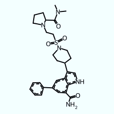 CN(C)C(=O)C1CCCN1CCS(=O)(=O)N1CCC(c2c[nH]c3c(C(N)=O)cc(-c4ccccc4)cc23)CC1